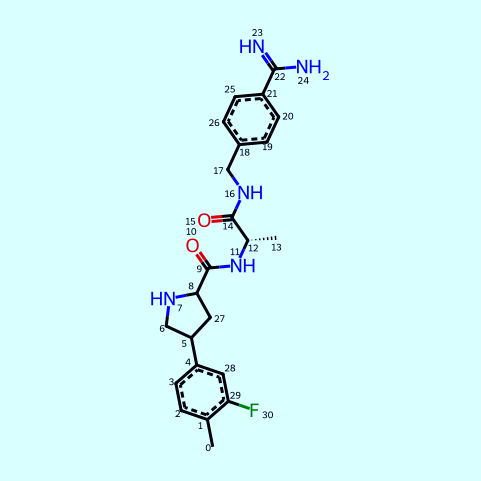 Cc1ccc(C2CNC(C(=O)N[C@@H](C)C(=O)NCc3ccc(C(=N)N)cc3)C2)cc1F